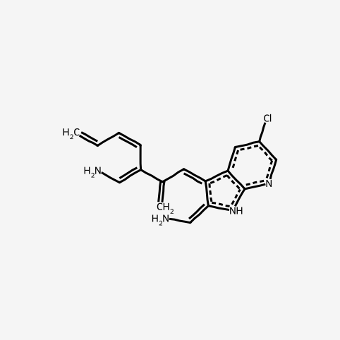 C=C/C=C\C(=C/N)C(=C)/C=c1\c(=C/N)[nH]c2ncc(Cl)cc12